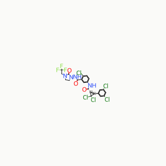 O=C(NN1CCN(CC(F)(F)F)C1=O)c1cc(NC(=O)[C@@H]2[C@@H](c3cc(Cl)cc(Cl)c3)C2(Cl)Cl)ccc1Cl